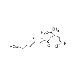 C#CCCC=C(F)COC(=O)C1C(C=C(F)Cl)C1(C)C